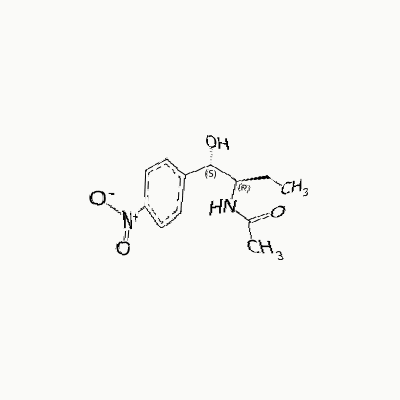 CC[C@@H](NC(C)=O)[C@@H](O)c1ccc([N+](=O)[O-])cc1